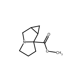 COC(=O)C12CCCN1CC1CC12